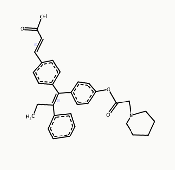 CC/C(=C(\c1ccc(/C=C/C(=O)O)cc1)c1ccc(OC(=O)CN2CCCCC2)cc1)c1ccccc1